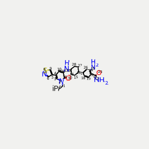 CC(C)Cn1cc(-c2cnsc2)cc(N[C@H]2CC[C@@H](c3ccc(C(N)=O)c(N)c3)CC2)c1=O